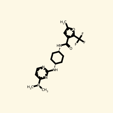 Cc1cc(C(=O)N[C@H]2CC[C@@H](Nc3nccc(N(C)C)n3)CC2)c(C(F)(F)F)o1